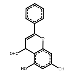 O=CC1C=C(c2ccccc2)Oc2cc(O)cc(O)c21